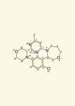 Cc1cc(N2CCCOCC2c2cc(N3CCOCC3)ccc2Cl)ncn1